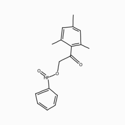 Cc1cc(C)c(C(=O)CO[PH](=O)c2ccccc2)c(C)c1